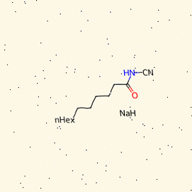 CCCCCCCCCCCC(=O)NC#N.[NaH]